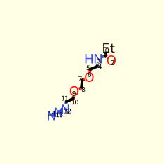 CCC(=O)NCCOCCOCCN=[N+]=[N-]